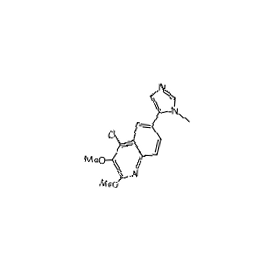 COc1nc2ccc(-c3cncn3C)cc2c(Cl)c1OC